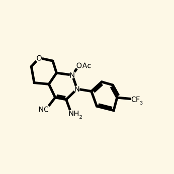 CC(=O)ON1C2COCCC2C(C#N)=C(N)N1c1ccc(C(F)(F)F)cc1